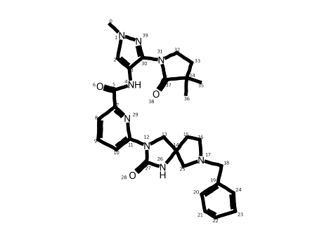 Cn1cc(NC(=O)c2cccc(N3CC4(CCN(Cc5ccccc5)C4)NC3=O)n2)c(N2CCC(C)(C)C2=O)n1